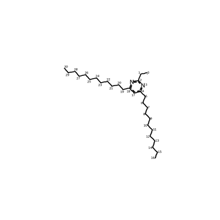 [CH2]Cc1nc(CCCCCCCCCCCC)cc(CCCCCCCCCCCC)n1